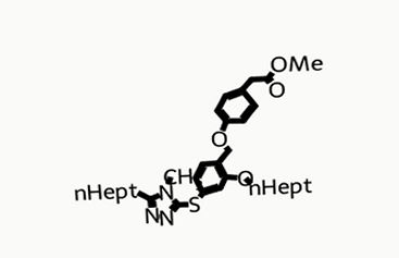 CCCCCCCOc1cc(Sc2nnc(CCCCCCC)n2C)ccc1COc1ccc(CC(=O)OC)cc1